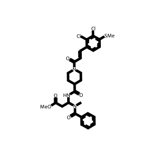 COC(=O)CC(NC(=O)C1CCN(C(=O)C=Cc2ccc(SC)c(Cl)c2Cl)CC1)N(C)C(=O)c1ccccc1